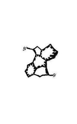 BrC1=c2c3cccc4c3c(c3cccc(c23)C1)=C(Br)C4